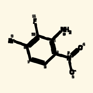 Nc1c([N+](=O)[O-])ccc(Br)c1F